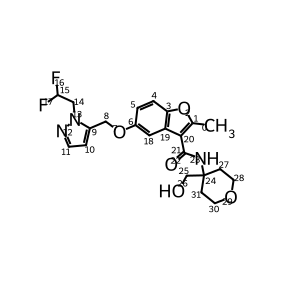 Cc1oc2ccc(OCc3ccnn3CC(F)F)cc2c1C(=O)NC1(CO)CCOCC1